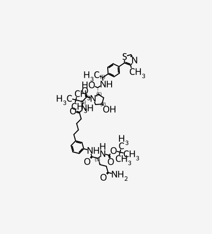 Cc1ncsc1-c1ccc([C@H](C)NC(O)[C@@H]2C[C@@H](O)CN2C(=O)[C@@H](NC(=O)CCCCc2cccc(NC(=O)[C@H](CCC(N)=O)NC(=O)OC(C)(C)C)c2)C(C)(C)C)cc1